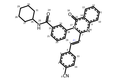 N#Cc1ccc(/C=C/c2nc3ccccc3c(=O)n2-c2cccc(C(=O)NC3CCCCC3)c2)cc1